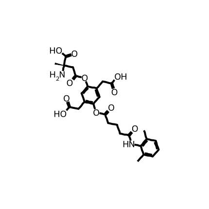 Cc1cccc(C)c1NC(=O)CCCC(=O)Oc1cc(CC(=O)O)c(OC(=O)C[C@](C)(N)C(=O)O)cc1CC(=O)O